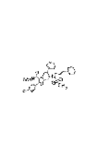 CNC(=O)c1c(-c2ccc(F)cc2)oc2cc(N(CC=Cc3ccccc3)S(C)(=O)=O)c(-c3ccccc3)cc12